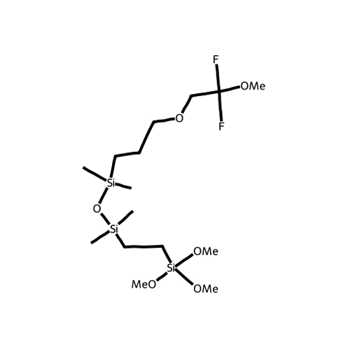 COC(F)(F)COCCC[Si](C)(C)O[Si](C)(C)CC[Si](OC)(OC)OC